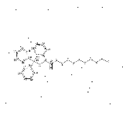 CCCCCCCCCCNCCC(c1ccccc1)(c1ccccc1)c1ccccc1